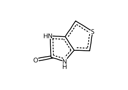 O=c1[nH]c2cscc2[nH]1